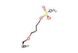 CC[C@H](C)COCCCCOS(C)(=O)=O